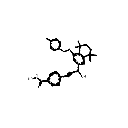 Cc1ccc(CSc2cc(C(O)C#Cc3ccc(C(=O)NO)cc3)cc3c2C(C)(C)CCC3(C)C)cc1